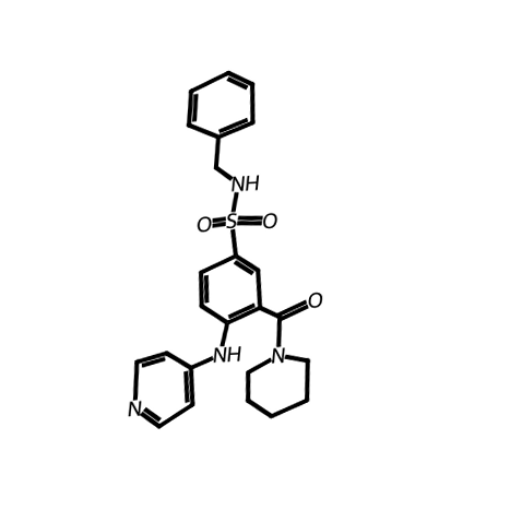 O=C(c1cc(S(=O)(=O)NCc2ccccc2)ccc1Nc1ccncc1)N1CCCCC1